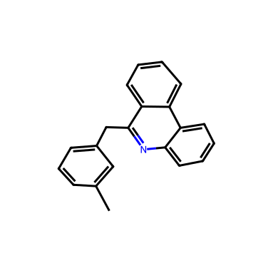 Cc1cccc(Cc2nc3ccccc3c3ccccc23)c1